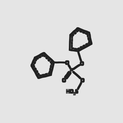 O=P(Oc1ccccc1)(Oc1ccccc1)OS(=O)(=O)O